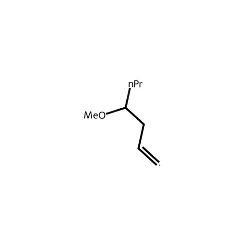 [CH]=CCC(CCC)OC